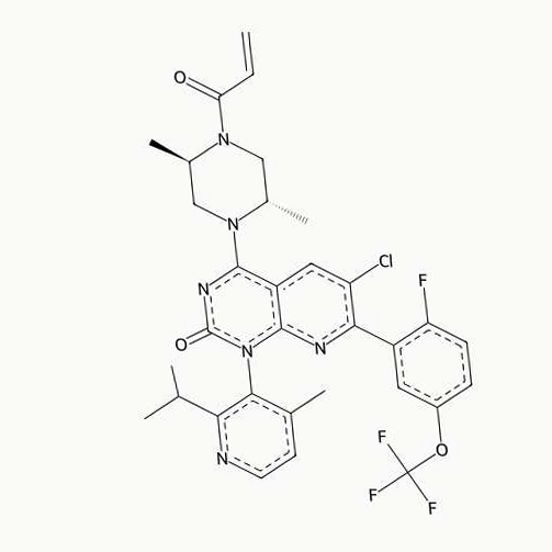 C=CC(=O)N1C[C@H](C)N(c2nc(=O)n(-c3c(C)ccnc3C(C)C)c3nc(-c4cc(OC(F)(F)F)ccc4F)c(Cl)cc23)C[C@H]1C